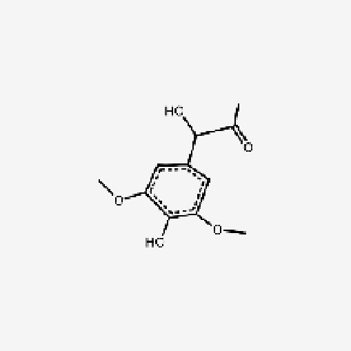 COc1cc(C(O)C(C)=O)cc(OC)c1O